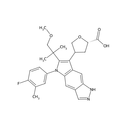 COCC(C)(C)c1c(C2CO[C@H](C(=O)O)C2)c2cc3[nH]ncc3cc2n1-c1ccc(F)c(C)c1